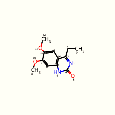 CCc1nc(=O)[nH]c2cc(OC)c(OC)cc12